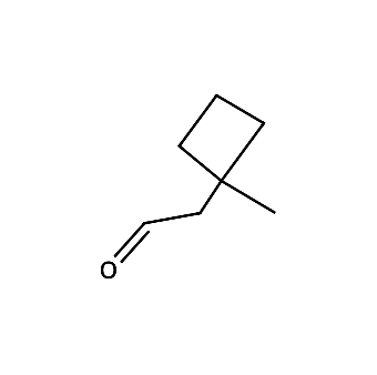 CC1(CC=O)CCC1